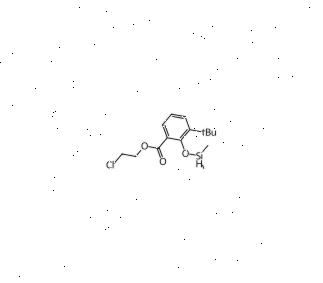 C[SiH](C)Oc1c(C(=O)OCCCl)cccc1C(C)(C)C